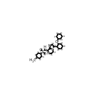 Cc1ccc(S(=O)(=O)Nc2nccn3c(-c4ccccc4Oc4ccccc4)cnc23)cc1